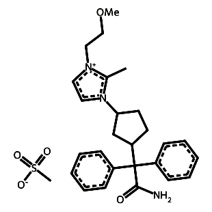 COCC[n+]1ccn(C2CCC(C(C(N)=O)(c3ccccc3)c3ccccc3)C2)c1C.CS(=O)(=O)[O-]